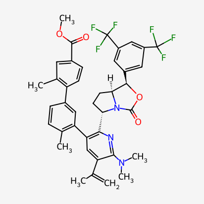 C=C(C)c1cc(-c2cc(-c3ccc(C(=O)OC)cc3C)ccc2C)c([C@@H]2CC[C@H]3[C@@H](c4cc(C(F)(F)F)cc(C(F)(F)F)c4)OC(=O)N23)nc1N(C)C